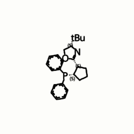 CC(C)(C)[C@H]1COC([C@@H]2CCC[C@@H]2P(c2ccccc2)c2ccccc2)=N1